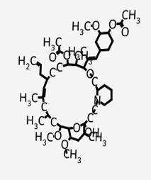 C=CCC1/C=C(/C)CC(C)CC(OC)C2OC(O)(CCN3CCCCC3COC(/C(C)=C/C3CCC(OC(C)=O)C(OC)C3)C(C)C(OC(C)=O)CC1)C(C)CC2OC